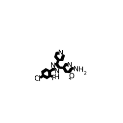 COc1cc(-c2[nH]c(-c3ccc(Cl)cc3F)nc2-c2ccncc2)cnc1N